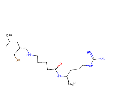 CC(C=O)CC(CS)CNCCCCC(=O)N[C@@H](CCCNC(=N)N)C(=O)O